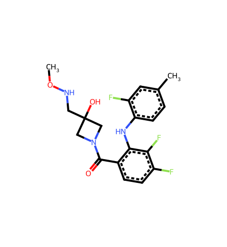 CONCC1(O)CN(C(=O)c2ccc(F)c(F)c2Nc2ccc(C)cc2F)C1